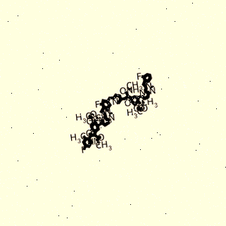 CNC(=O)c1c(-c2ccc(Cc3cc(F)c4cc5c6nc(-c7cc8c(C(=O)NC)c(-c9ccc(F)cc9C)oc8cc7N(C)S(C)(=O)=O)ccc6ncn5c4c3)nc2)oc2cc(N(C)S(C)(=O)=O)c(-c3ccc4ncn5c6cccc(F)c6cc5c4n3)cc12